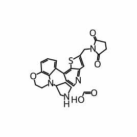 O=C1CCC(=O)N1Cc1cc2nccc(-c3cccc4c3N([C@H]3CCNC3)CCO4)c2s1.O=CO